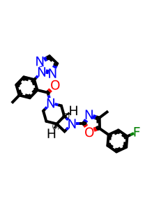 Cc1ccc(-n2nccn2)c(C(=O)N2CC[C@H]3CN(c4nc(C)c(-c5cccc(F)c5)o4)[C@H]3C2)c1